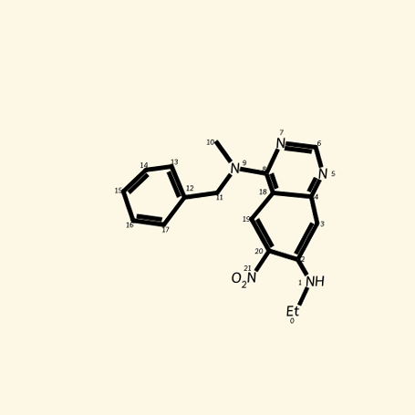 CCNc1cc2ncnc(N(C)Cc3ccccc3)c2cc1[N+](=O)[O-]